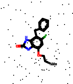 CNCCOc1cc(F)c(Cc2ccccc2)c2c1[N]C(=O)N2